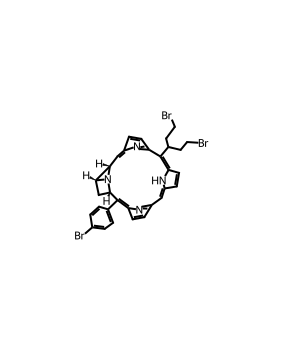 BrCCC(CCBr)/C1=c2\cc/c([nH]2)=C/C2=NC(=C(/c3ccc(Br)cc3)[C@@H]3C[C@@H]4[C@H](/C=C5/C=CC1=N5)N43)/C=C2